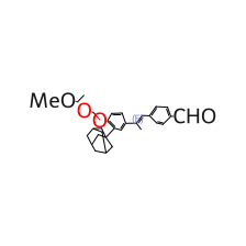 COC(C)OCOc1ccc(/C(C)=C/c2ccc(C=O)cc2)cc1C12CC3CC(CC(C3)C1)C2